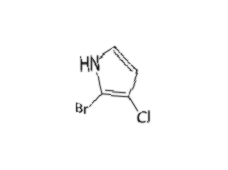 Clc1cc[nH]c1Br